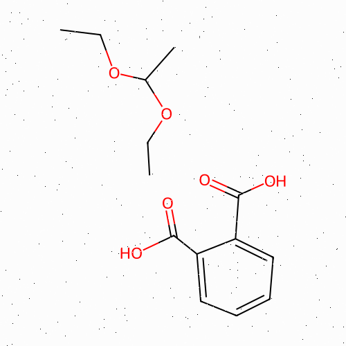 CCOC(C)OCC.O=C(O)c1ccccc1C(=O)O